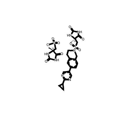 C[C@]1(CS(=O)(=O)Cl)NC(=O)NC1=O.C[C@]1(CS(=O)(=O)N2CCc3cc(-c4cnc(C5CC5)nc4)ccc3C2)NC(=O)NC1=O